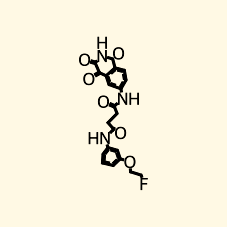 O=C(CCC(=O)Nc1ccc2c(c1)C(=O)C(=O)NC2=O)Nc1cccc(OCCF)c1